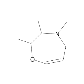 CC1OC=CCN(C)C1C